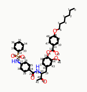 CCCCCCCOc1ccc(C(=O)Oc2ccc(CC(NC(=O)c3ccc(NS(=O)(=O)c4ccccc4)cc3)C(C)=O)cc2OC)cc1